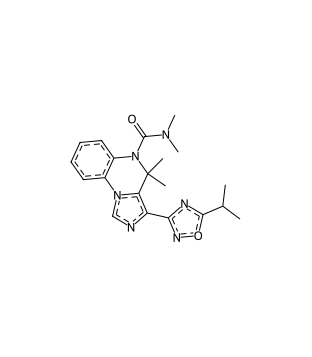 CC(C)c1nc(-c2ncn3c2C(C)(C)N(C(=O)N(C)C)c2ccccc2-3)no1